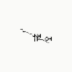 CCCCCCCCCNC(=O)OCCCC(O)CC